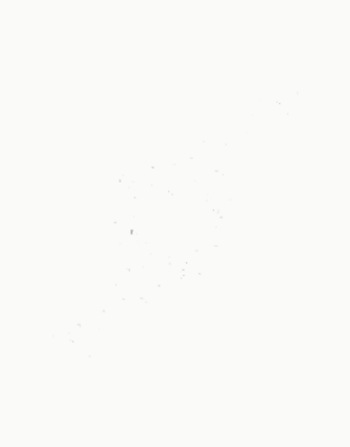 C[N+](C)(C)CCCOc1ccc(-c2c3nc(cc4ccc([nH]4)c(-c4ccc(OCCC[N+](C)(C)C)cc4)c4nc(cc5ccc2[nH]5)C=C4)C=C3)cc1.[Br-].[Br-]